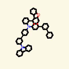 c1ccc(-c2cccc(-c3ccc(N(c4ccc(-c5cccc(-n6c7ccccc7c7ccccc76)c5)cc4)c4ccccc4-c4cccc5oc6ccccc6c45)cc3)c2)cc1